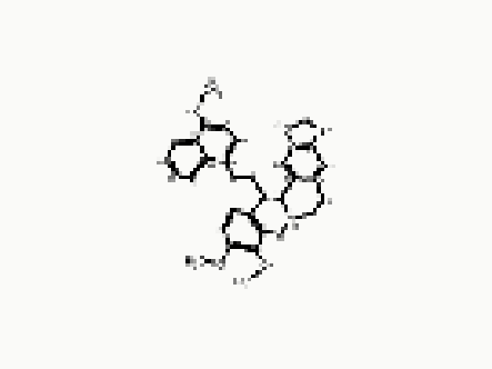 COc1ccc2c(c1OC)CN1CCc3cc4c(cc3C1C2CCc1ccc(OC)c2ccccc12)OCO4